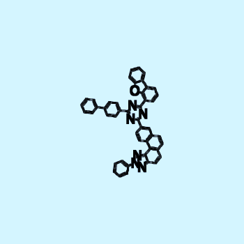 c1ccc(-c2ccc(-c3nc(-c4ccc5c(ccc6ccc7nn(-c8ccccc8)nc7c65)c4)nc(-c4cccc5c4oc4ccccc45)n3)cc2)cc1